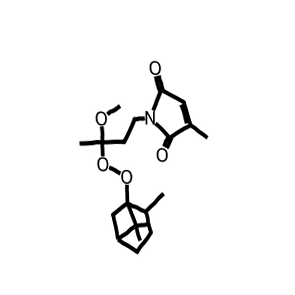 COC(C)(CCN1C(=O)C=C(C)C1=O)OOC12CC(CCC1C)C2(C)C